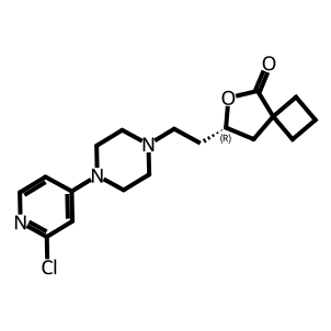 O=C1O[C@@H](CCN2CCN(c3ccnc(Cl)c3)CC2)CC12CCC2